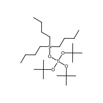 CCCC[Si](CCCC)(CCCC)[O][Ti]([O]C(C)(C)C)([O]C(C)(C)C)[O]C(C)(C)C